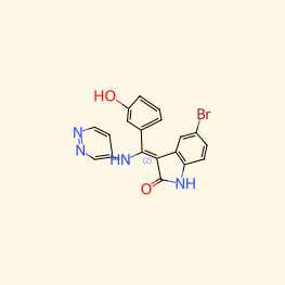 O=C1Nc2ccc(Br)cc2/C1=C(/Nc1ccnnc1)c1cccc(O)c1